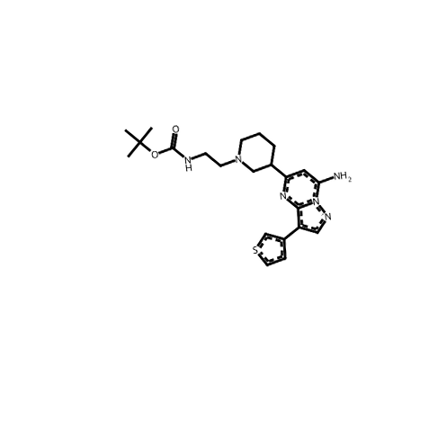 CC(C)(C)OC(=O)NCCN1CCCC(c2cc(N)n3ncc(-c4ccsc4)c3n2)C1